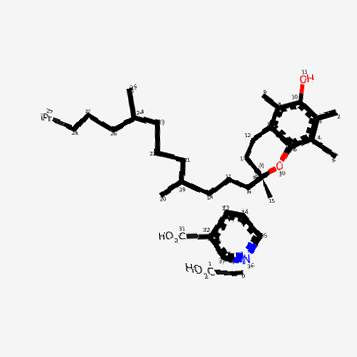 CC(=O)O.Cc1c(C)c2c(c(C)c1O)CC[C@@](C)(CCCC(C)CCCC(C)CCCC(C)C)O2.O=C(O)c1cccnc1